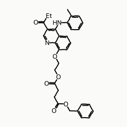 CCC(=O)c1cnc2c(OCCOC(=O)CCC(=O)OCc3ccccc3)cccc2c1Nc1ccccc1C